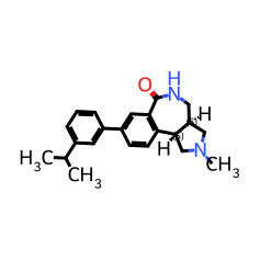 CC(C)c1cccc(-c2ccc3c(c2)C(=O)NC[C@H]2CN(C)C[C@H]32)c1